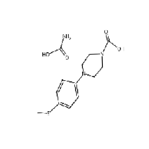 CSc1ccc(N2CCN(C(=O)O)CC2)cc1.NC(=O)O